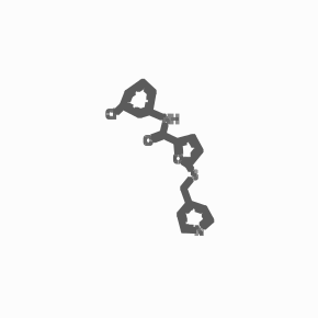 O=C(Nc1cccc(Cl)c1)c1ccc(SCc2ccncc2)o1